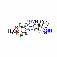 Cc1ccc2[nH]ncc2c1-c1cc2nccc(Nc3c(F)c(F)c(S(C)(=O)=O)c(F)c3F)c2cc1Cl